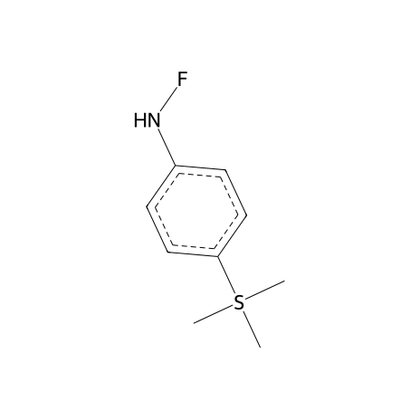 CS(C)(C)c1ccc(NF)cc1